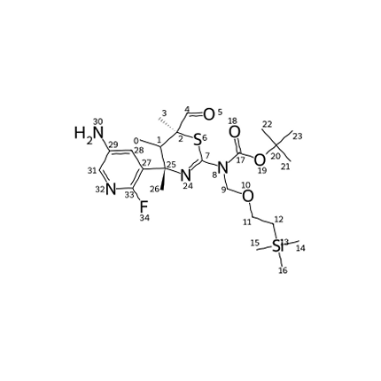 CC1[C@@](C)(C=O)SC(N(COCC[Si](C)(C)C)C(=O)OC(C)(C)C)=N[C@]1(C)c1cc(N)cnc1F